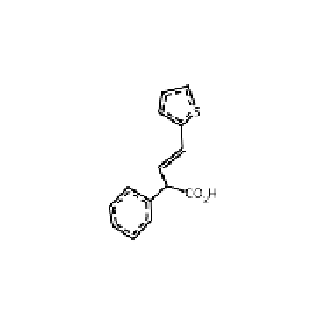 O=C(O)C(C=Cc1cccs1)c1ccccc1